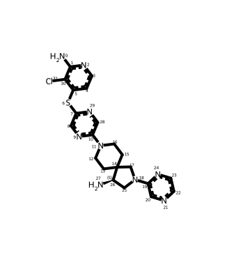 Nc1nccc(Sc2cnc(N3CCC4(CC3)CN(c3cnccn3)C[C@H]4N)cn2)c1Cl